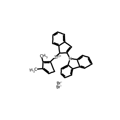 CC1=CC[C]([Zr+2][CH]2C(n3c4ccccc4c4ccccc43)=Cc3ccccc32)=C1C.[Br-].[Br-]